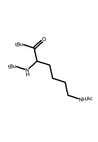 CC(=O)NCCCCC(NC(C)(C)C)C(=O)C(C)(C)C